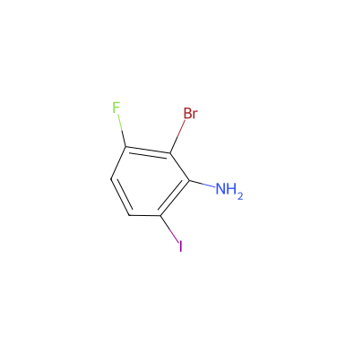 Nc1c(I)ccc(F)c1Br